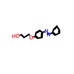 OCCCOc1ccc(N=Nc2ccccc2)cc1